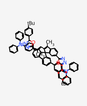 CC1=C(/C=C(\C)c2ccc(N(c3ccccc3)c3ccccc3)cc2)C2(c3cc(-c4nnc(-c5ccc(C(C)(C)C)cc5)o4)ccc31)c1cc(C3=NNC(c4ccc(C(C)(C)C)cc4)O3)ccc1-c1ccc(-c3ccc(N(c4ccccc4)c4ccccc4)cc3)cc12